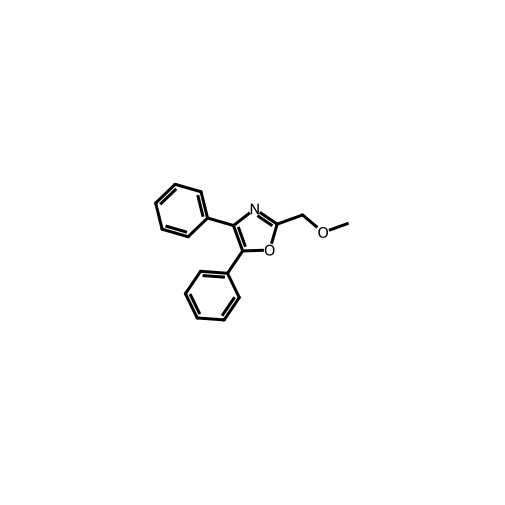 COCc1nc(-c2ccccc2)c(-c2ccccc2)o1